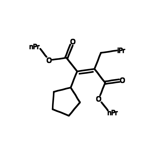 CCCOC(=O)C(CC(C)C)=C(C(=O)OCCC)C1CCCC1